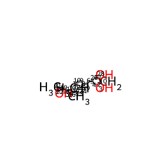 C=C1[C@H](O)CC(=C/C=C2\CCC[C@]3(C)[C@@H]([C@@H](C)/C=C/C[C@H](C)O)CC[C@@H]23)C[C@H]1O